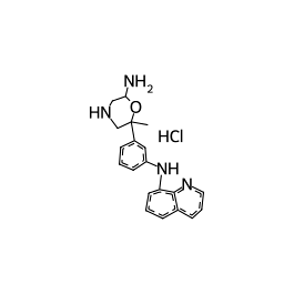 CC1(c2cccc(Nc3cccc4cccnc34)c2)CNCC(N)O1.Cl